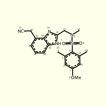 COc1cc(C)c(S(=O)(=O)N(C)Cc2nc3c(CC#N)cccc3[nH]2)c(C)c1